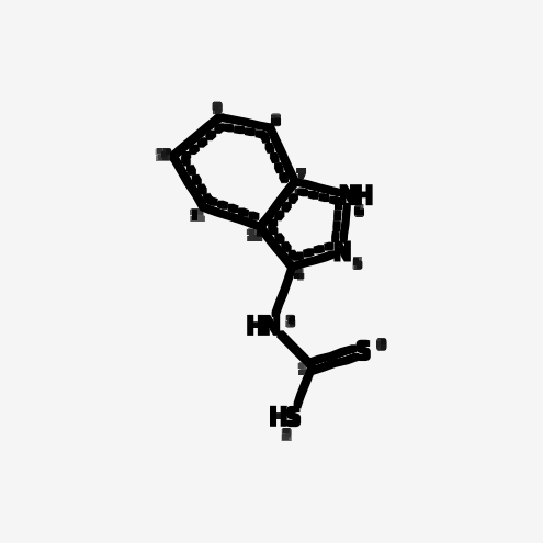 S=C(S)Nc1n[nH]c2ccccc12